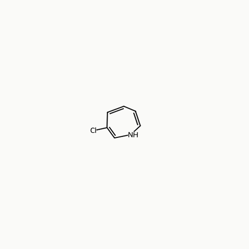 ClC1=CNC=CC=C1